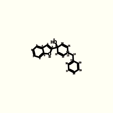 OC1(c2cc3ccccc3o2)C=CN(Cc2ccccc2)C=C1